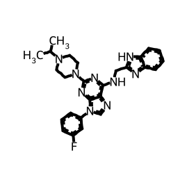 CC(C)N1CCN(c2nc(NCc3nc4ccccc4[nH]3)c3ncn(-c4cccc(F)c4)c3n2)CC1